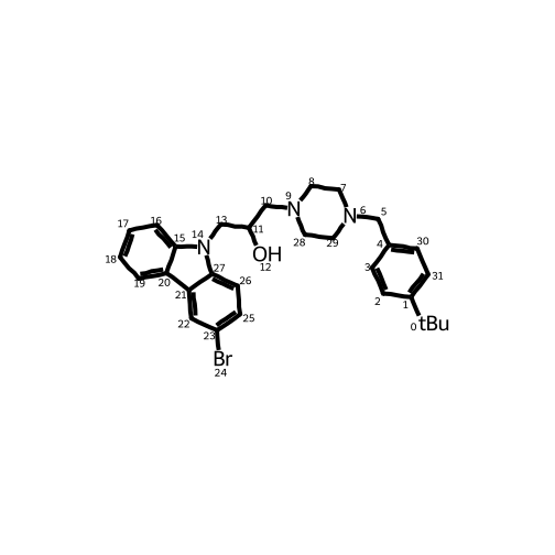 CC(C)(C)c1ccc(CN2CCN(CC(O)Cn3c4ccccc4c4cc(Br)ccc43)CC2)cc1